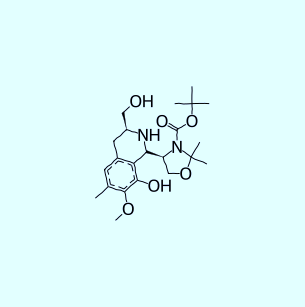 COc1c(C)cc2c(c1O)C([C@@H]1COC(C)(C)N1C(=O)OC(C)(C)C)N[C@H](CO)C2